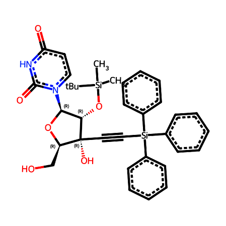 CC(C)(C)[Si](C)(C)O[C@H]1[C@H](n2ccc(=O)[nH]c2=O)O[C@H](CO)[C@]1(O)C#C[Si](c1ccccc1)(c1ccccc1)c1ccccc1